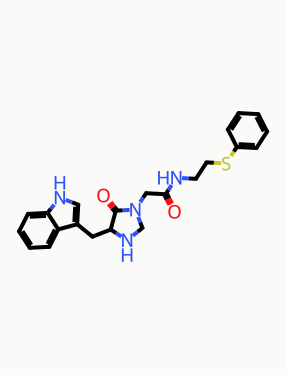 O=C(CN1CNC(Cc2c[nH]c3ccccc23)C1=O)NCCSc1ccccc1